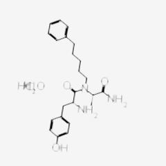 C[C@H](C(N)=O)N(CCCCCc1ccccc1)C(=O)[C@@H](N)Cc1ccc(O)cc1.Cl.O